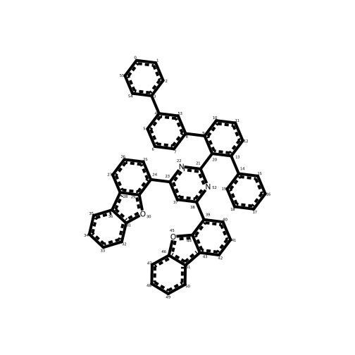 c1ccc(-c2cccc(-c3cccc(-c4ccccc4)c3-c3nc(-c4cccc5c4oc4ccccc45)cc(-c4cccc5c4oc4ccccc45)n3)c2)cc1